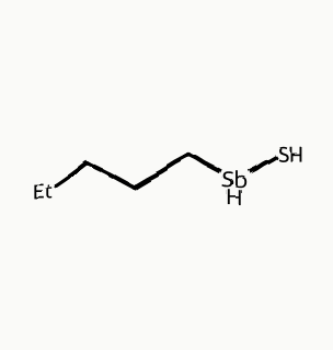 CCCC[CH2][SbH][SH]